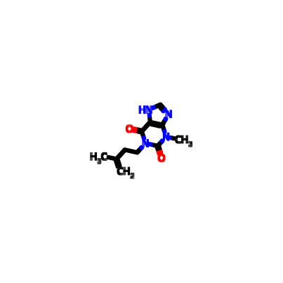 C=C(C)CCn1c(=O)c2[nH]cnc2n(C)c1=O